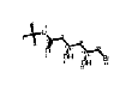 CC(C)(C)OC(=O)C[C@H](O)C[C@H](O)CBr